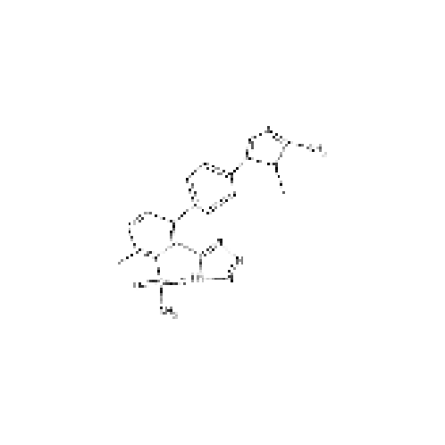 Cc1ccc(-c2ccc(-c3cnc(N)n3C)cc2)c(-c2nnn[nH]2)c1S(N)(=O)=O